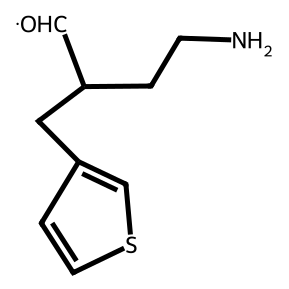 NCCC([C]=O)Cc1ccsc1